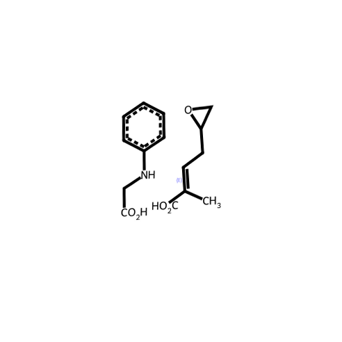 C/C(=C\CC1CO1)C(=O)O.O=C(O)CNc1ccccc1